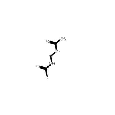 NC(=O)OCNC([O])=O